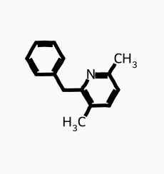 Cc1ccc(C)c(Cc2ccccc2)n1